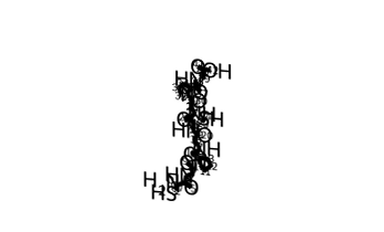 N[C@@H](CS)C(=O)NCC(=O)N1CCC[C@H]1C(=O)NCC(=O)N[C@@H](CS)C(=O)NCC(=O)N1CCC[C@H]1C(=O)NCC(=O)O